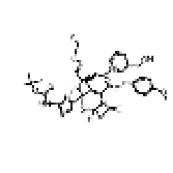 COc1ccc(COC(=O)C2=C(/C=C\C[n+]3cccc(CO)c3)C(NC(=O)C=NOCF)(c3csc(NC(=O)OC(C)(C)C)n3)S[C@H]3CC(=O)N23)cc1